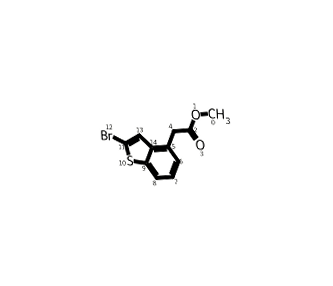 COC(=O)Cc1cccc2sc(Br)cc12